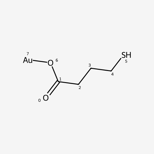 O=C(CCCS)[O][Au]